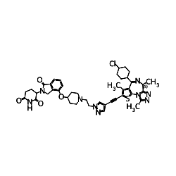 Cc1c(C#Cc2cnn(CCN3CCC(Oc4cccc5c4CN(C4CCC(=O)NC4=O)C5=O)CC3)c2)sc2c1C(C1CCC(Cl)CC1)=N[C@@H](C)c1nnc(C)n1-2